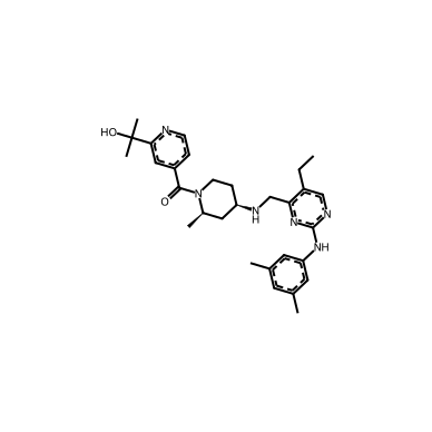 CCc1cnc(Nc2cc(C)cc(C)c2)nc1CN[C@@H]1CCN(C(=O)c2ccnc(C(C)(C)O)c2)[C@H](C)C1